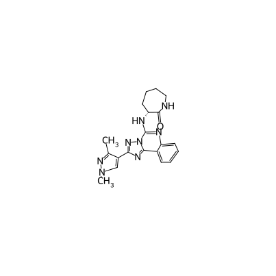 Cc1nn(C)cc1-c1nc2c3ccccc3nc(N[C@@H]3CCCCNC3=O)n2n1